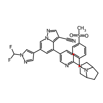 CS(=O)(=O)c1ccc(CN2C3CCC2CN(c2ccc(-c4cc(-c5cnn(C(F)F)c5)cn5ncc(C#N)c45)cn2)C3)cc1